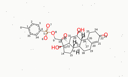 Cc1ccc(S(=O)(=O)OCC(=O)[C@@]2(O)CC[C@H]3[C@@H]4CCC5=CC(=O)CC[C@]5(C)[C@H]4[C@H](O)C[C@@]32C)cc1